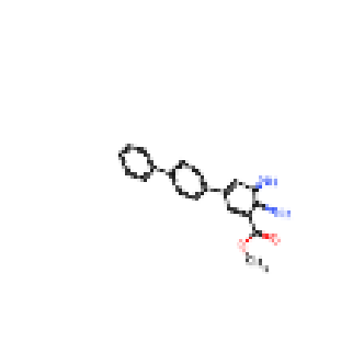 COC(=O)C1=CC(c2ccc(-c3ccccc3)cc2)=CC(=N)C1=N